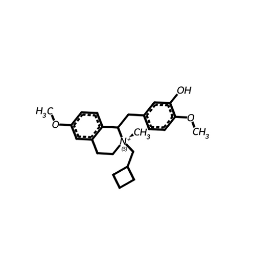 COc1ccc2c(c1)CC[N@@+](C)(CC1CCC1)C2Cc1ccc(OC)c(O)c1